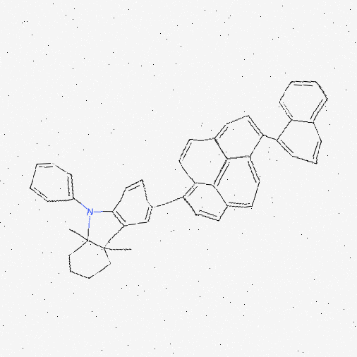 CC12CCCCC1(C)N(c1ccccc1)c1ccc(-c3ccc4ccc5c(-c6cccc7ccccc67)ccc6ccc3c4c65)cc12